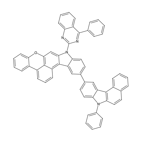 c1ccc(-c2nc(-n3c4ccc(-c5ccc6c(c5)c5c7ccccc7ccc5n6-c5ccccc5)cc4c4c5cccc6c5c(cc43)Oc3ccccc3-6)nc3ccccc23)cc1